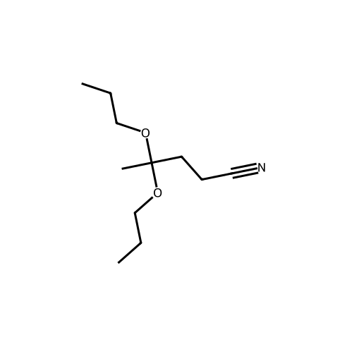 CCCOC(C)(CCC#N)OCCC